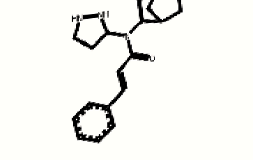 O=C(/C=C/c1ccccc1)N(C1CCNN1)C1CC2CCC1C2